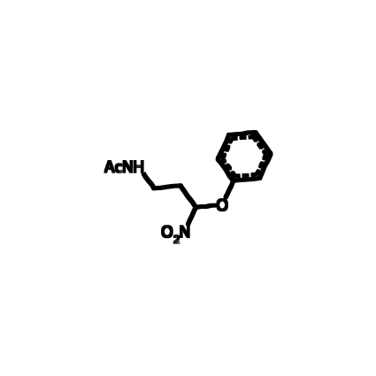 CC(=O)NCCC(Oc1ccccc1)[N+](=O)[O-]